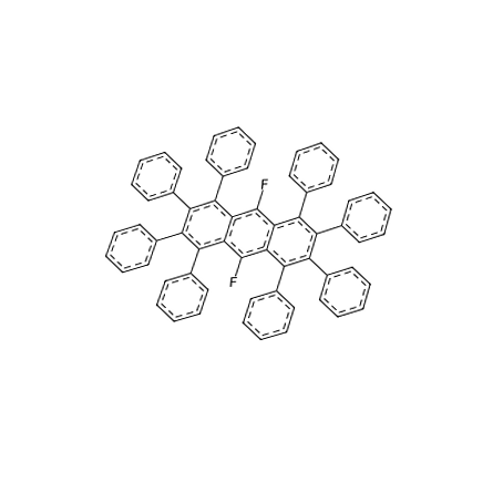 Fc1c2c(-c3ccccc3)c(-c3ccccc3)c(-c3ccccc3)c(-c3ccccc3)c2c(F)c2c(-c3ccccc3)c(-c3ccccc3)c(-c3ccccc3)c(-c3ccccc3)c12